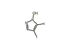 On1ncc(I)c1I